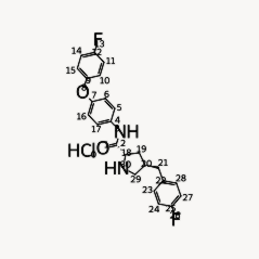 Cl.O=C(Nc1ccc(Oc2ccc(F)cc2)cc1)[C@@H]1C[C@@H](Cc2ccc(F)cc2)CN1